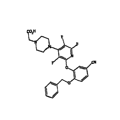 N#Cc1ccc(OCc2ccccc2)c(Oc2nc(F)c(F)c(N3CCN(CC(=O)O)CC3)c2F)c1